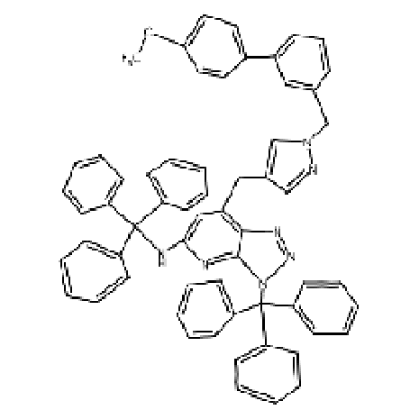 FC(F)(F)Oc1ccc(-c2cccc(Cn3cc(Cc4cc(NC(c5ccccc5)(c5ccccc5)c5ccccc5)nc5c4nnn5C(c4ccccc4)(c4ccccc4)c4ccccc4)cn3)c2)cc1